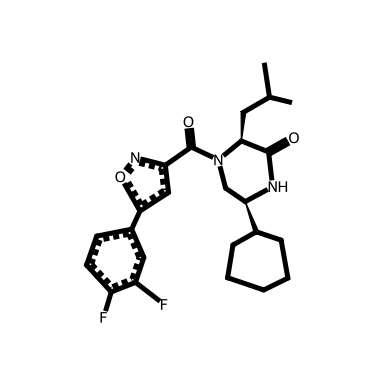 CC(C)C[C@H]1C(=O)N[C@@H](C2CCCCC2)CN1C(=O)c1cc(-c2ccc(F)c(F)c2)on1